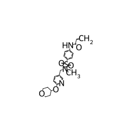 C=CC(=O)Nc1ccc(S(=O)(=O)N(C)Cc2ccc(OC3CCOCC3)nc2)cc1